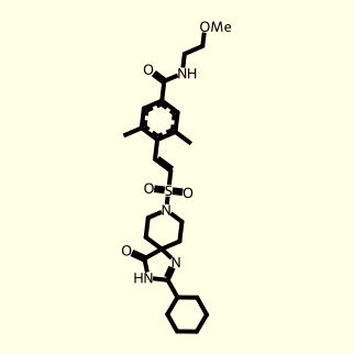 COCCNC(=O)c1cc(C)c(/C=C/S(=O)(=O)N2CCC3(CC2)N=C(C2CCCCC2)NC3=O)c(C)c1